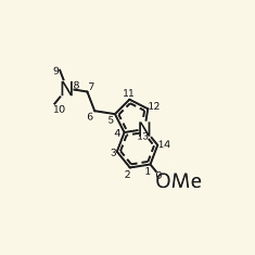 COc1ccc2c(CCN(C)C)ccn2c1